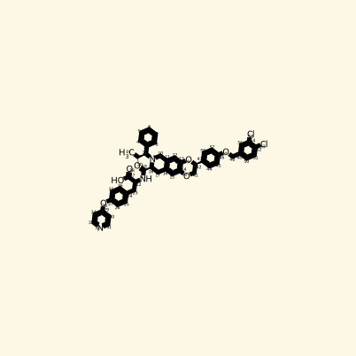 CC[C@@H](c1ccccc1)N1Cc2cc3c(cc2C[C@H]1C(=O)NC(Cc1ccc(Oc2ccncc2)cc1)C(=O)O)OC[C@H](c1ccc(OCc2ccc(Cl)c(Cl)c2)cc1)O3